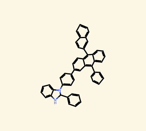 c1ccc(-c2c3ccccc3c(-c3ccc4ccccc4c3)c3ccc(-c4ccc(N5c6ccccc6NC5c5ccccc5)cc4)cc23)cc1